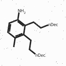 CCCCCCCCCCCCc1c(C)ccc(N)c1CCCCCCCCCCCC